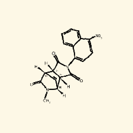 CN1C(=O)[C@H]2C=C[C@@H]1[C@H]1C(=O)N(c3ccc([N+](=O)[O-])c4ccccc34)C(=O)[C@H]12